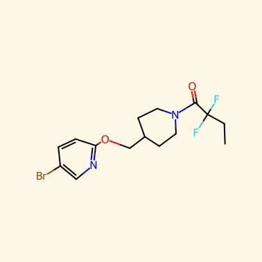 CCC(F)(F)C(=O)N1CCC(COc2ccc(Br)cn2)CC1